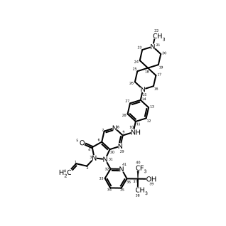 C=CCn1c(=O)c2cnc(Nc3ccc(N4CCC5(CCN(C)CC5)CC4)cc3)nc2n1-c1cccc([C@@](C)(O)C(F)(F)F)n1